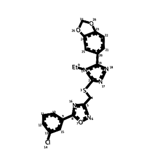 CCn1c(SCc2noc(-c3cccc(Cl)c3)n2)nnc1-c1ccc2c(c1)OCO2